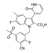 Cc1cc2c(-c3ccc[nH]c3=O)c(C(=O)O)n(Cc3cc(S(C)(=O)=O)cc(C#N)c3F)c2cc1F